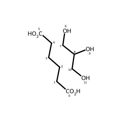 O=C(O)CCCCC(=O)O.OCC(O)CO